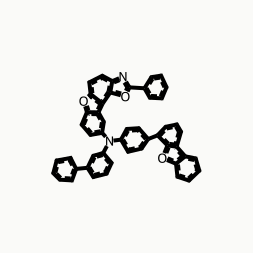 c1ccc(-c2cccc(N(c3ccc(-c4cccc5c4oc4ccccc45)cc3)c3ccc4oc5ccc6nc(-c7ccccc7)oc6c5c4c3)c2)cc1